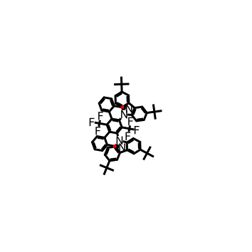 CC(C)(C)c1ccc2c(c1)c1cc(C(C)(C)C)ccc1n2-c1c(-c2ccccc2C#N)c(C(F)(F)F)c(-c2ccccc2C#N)c(-n2c3ccc(C(C)(C)C)cc3c3cc(C(C)(C)C)ccc32)c1C(F)(F)F